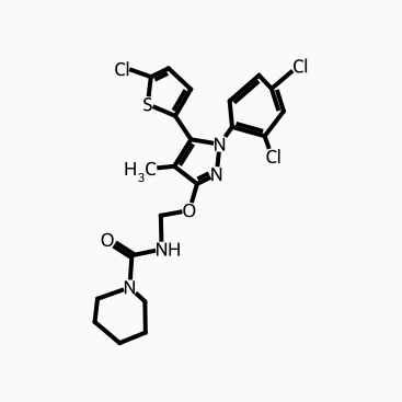 Cc1c(OCNC(=O)N2CCCCC2)nn(-c2ccc(Cl)cc2Cl)c1-c1ccc(Cl)s1